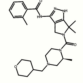 Cc1ccccc1C(=O)Nc1n[nH]c2c1CN(C(=O)N1CCN(CC3CCOCC3)C[C@@H]1C)C2(C)C